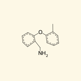 Cc1ccccc1Oc1ccccc1CN